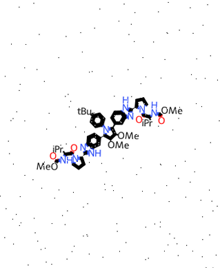 COC(=O)N[C@H](C(=O)N1CCC[C@H]1c1nc2c([nH]1)=CCC([C@H]1[C@@H](OC)[C@H](OC)[C@H](c3ccc4nc([C@@H]5CCCN5C(=O)[C@@H](NC(=O)OC)C(C)C)[nH]c4c3)N1c1ccc(C(C)(C)C)cc1)C=2)C(C)C